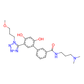 COCCCn1nnnc1-c1cc(-c2cccc(C(=O)NCCCN(C)C)c2)c(O)cc1O